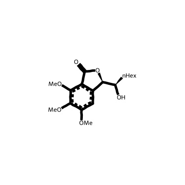 CCCCCC[C@@H](O)[C@@H]1OC(=O)c2c1cc(OC)c(OC)c2OC